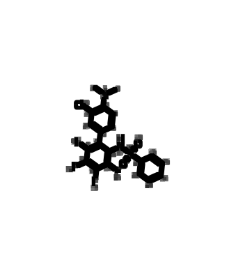 CN(C)c1ccc(-c2c(F)c(F)c(F)c(F)c2NS(=O)(=O)c2ccccc2)cc1Cl